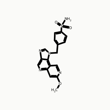 COc1cc2ncc3ncn(Cc4ccc(S(N)(=O)=O)cc4)c3c2cn1